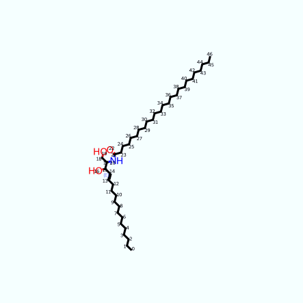 CCCCCCCCCCCCC/C=C/C(O)C(CO)NC(=O)CCCCCCCCCCCCCCCCCCCCCCCC